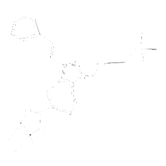 CC1(C)OB(c2ccc3c(c2)c(/C=C/c2ccccc2)nn3COCC[Si](C)(C)C)OC1(C)C